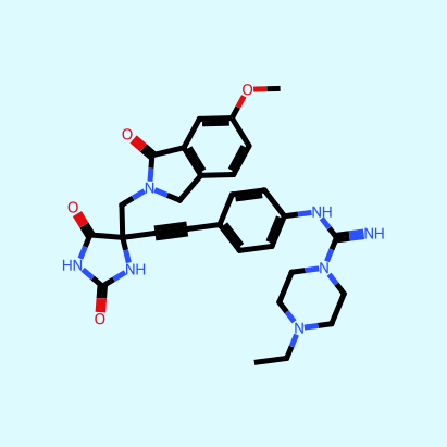 CCN1CCN(C(=N)Nc2ccc(C#CC3(CN4Cc5ccc(OC)cc5C4=O)NC(=O)NC3=O)cc2)CC1